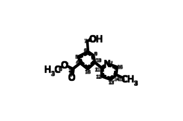 COC(=O)c1cc(CO)cc(-c2ccc(C)cn2)c1